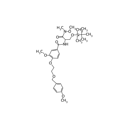 COc1ccc(COCCOc2ccc(C(=O)NC(CO[Si](C)(C)C(C)(C)C)C(=O)N(C)OC)cc2OC)cc1